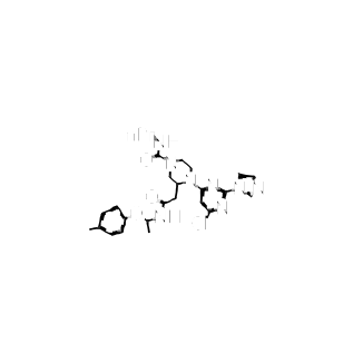 CCCNC(=O)N1CCN(c2cc(Cl)nc(-n3ccnc3)n2)C(CC(=O)NC(C)Oc2ccc(C)cc2)C1